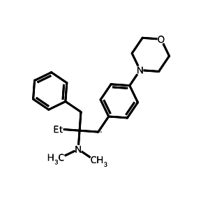 CCC([CH]c1ccc(N2CCOCC2)cc1)(Cc1ccccc1)N(C)C